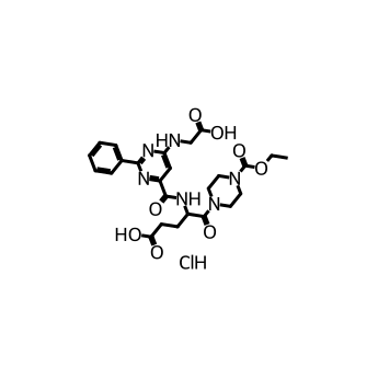 CCOC(=O)N1CCN(C(=O)C(CCC(=O)O)NC(=O)c2cc(NCC(=O)O)nc(-c3ccccc3)n2)CC1.Cl